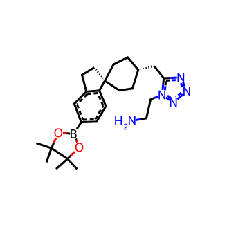 CC1(C)OB(c2ccc3c(c2)CC[C@]32CC[C@@H](Cc3nnnn3CCN)CC2)OC1(C)C